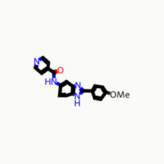 COc1ccc(-c2nc3cc(NC(=O)c4ccncc4)ccc3[nH]2)cc1